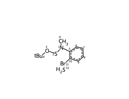 CN(SOC(C)(C)C)c1ccccc1Br.S